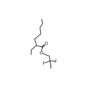 CCCCCC(CC)C(=O)OCC(F)(F)F